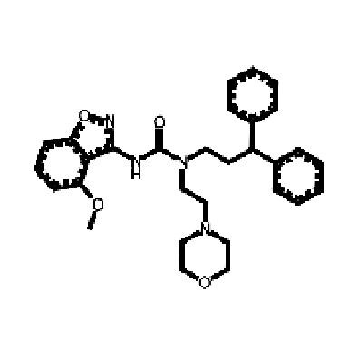 COc1cccc2onc(NC(=O)N(CCC(c3ccccc3)c3ccccc3)CCN3CCOCC3)c12